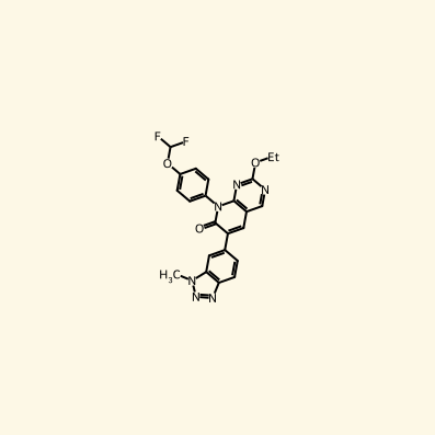 CCOc1ncc2cc(-c3ccc4nnn(C)c4c3)c(=O)n(-c3ccc(OC(F)F)cc3)c2n1